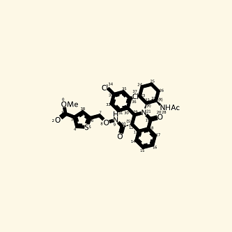 COC(=O)c1csc(CONC(=O)[C@H]2c3ccccc3C(=O)N([C@@H]3CCCC[C@H]3NC(C)=O)C2c2ccc(Cl)cc2Cl)c1